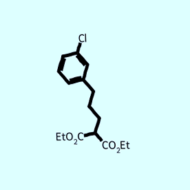 CCOC(=O)C(CCCc1cccc(Cl)c1)C(=O)OCC